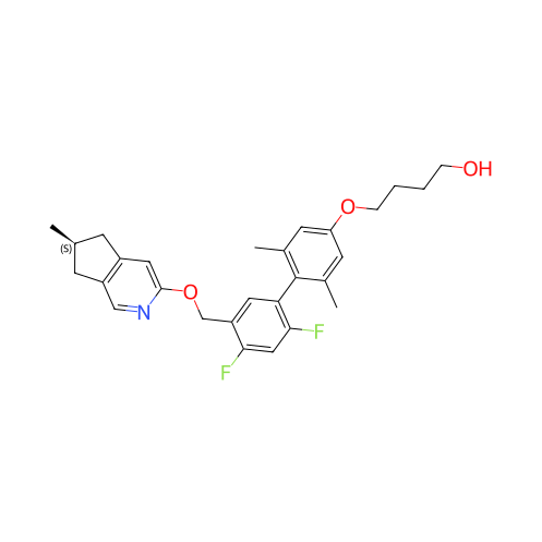 Cc1cc(OCCCCO)cc(C)c1-c1cc(COc2cc3c(cn2)C[C@@H](C)C3)c(F)cc1F